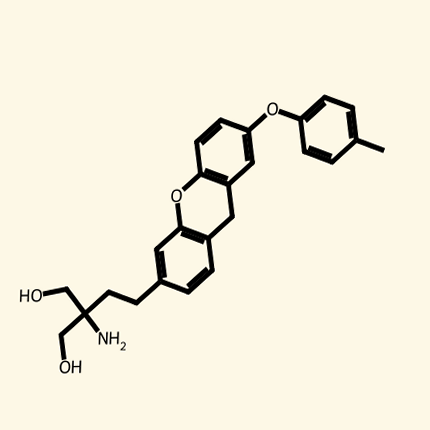 Cc1ccc(Oc2ccc3c(c2)Cc2ccc(CCC(N)(CO)CO)cc2O3)cc1